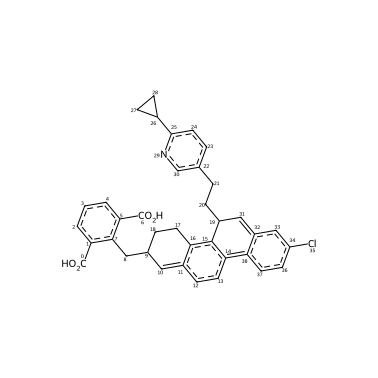 O=C(O)c1cccc(C(=O)O)c1CC1C=c2ccc3c(c2CC1)C(CCc1ccc(C2CC2)nc1)C=c1cc(Cl)ccc1=3